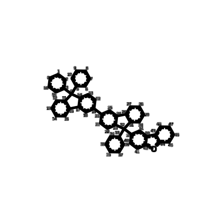 c1ccc(C2(c3ccccc3)c3ccccc3-c3cc(-c4ccc5c(c4)-c4ccccc4C5(c4ccccc4)c4ccc5oc6ccccc6c5c4)ccc32)cc1